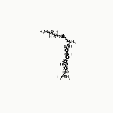 CN(C)CCNC(=O)c1ccc(-c2nc3cc(-c4ccc5[nH]c(-c6ccc(C(=O)NCCN(C)CCCCc7cn(CCCNC(=O)CCC(=O)NCCCN)nn7)cc6)nc5c4)ccc3[nH]2)cc1